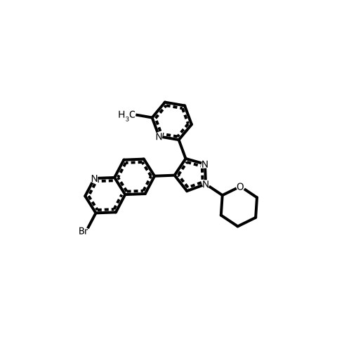 Cc1cccc(-c2nn(C3CCCCO3)cc2-c2ccc3ncc(Br)cc3c2)n1